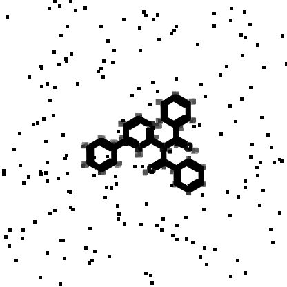 O=C(c1ccccc1)N(C(=O)c1ccccc1)c1nccc(-c2ccccc2)n1